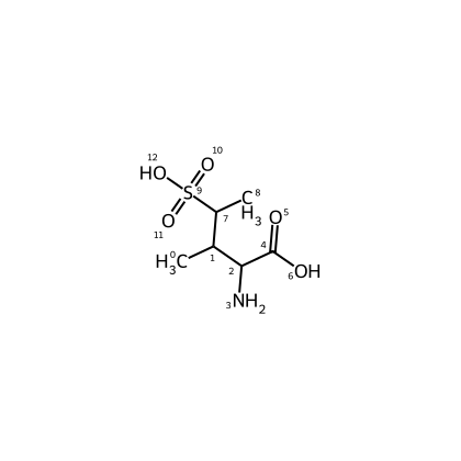 CC(C(N)C(=O)O)C(C)S(=O)(=O)O